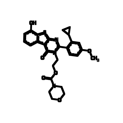 COc1ccc(-c2nc3sc4c(O)cccc4c3c(=O)n2CCOC(=O)N2CCOCC2)c(C2CC2)c1